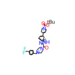 CC(C)(C)OC(=O)N1CC=C(C2=CC=C3N=C(C(=O)N4CCN(Cc5ccc(C(F)F)cc5)CC4)N[C@@]3(C)C2)CC1